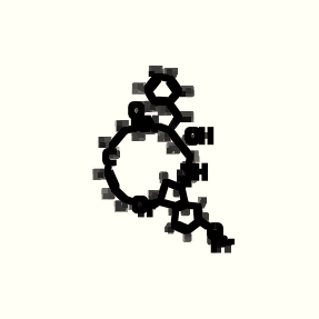 CC(C)Oc1ccc2c(c1)[C@@H]1C[C@H]2OC/C=C\CCCC(=O)N[C@@H](Cc2ccccc2)[C@H](O)CN1